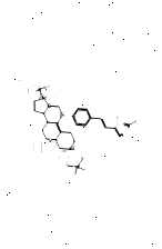 Cc1nc(C=Cc2ccc([C@H]3C[C@@]4(C)C(CC[C@@]4(O)C(F)(F)C(F)(F)F)C4CCC5(O)CC6(CCC5=C43)OCC(C)(C)CO6)cc2)cs1